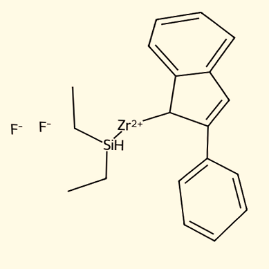 CC[SiH](CC)[Zr+2][CH]1C(c2ccccc2)=Cc2ccccc21.[F-].[F-]